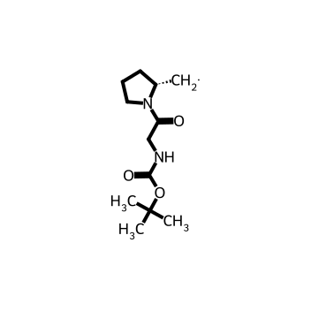 [CH2][C@H]1CCCN1C(=O)CNC(=O)OC(C)(C)C